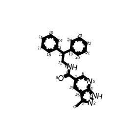 Cc1n[nH]c2ncc(C(=O)NCC(c3ccccc3)c3ccccc3)cc12